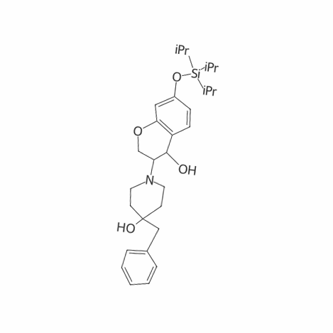 CC(C)[Si](Oc1ccc2c(c1)OCC(N1CCC(O)(Cc3ccccc3)CC1)C2O)(C(C)C)C(C)C